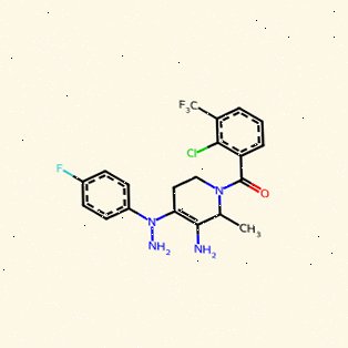 CC1C(N)=C(N(N)c2ccc(F)cc2)CCN1C(=O)c1cccc(C(F)(F)F)c1Cl